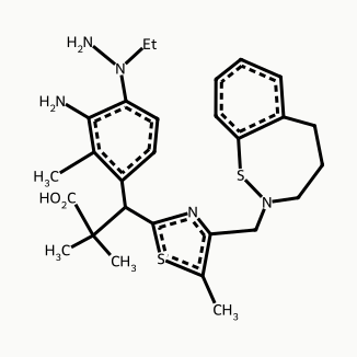 CCN(N)c1ccc(C(c2nc(CN3CCCc4ccccc4S3)c(C)s2)C(C)(C)C(=O)O)c(C)c1N